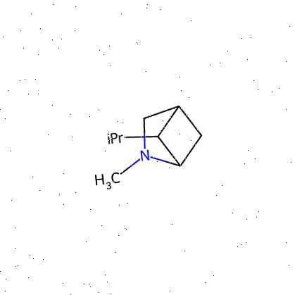 CC(C)C1C2CC1N(C)C2